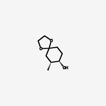 C[C@@H]1CC2(CC[C@@H]1O)OCCO2